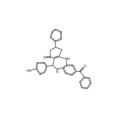 O=C1CC(c2ccccc2)CC2=C1C(c1ccc(O)cc1)Nc1ccc(C(=O)c3ccccc3)cc1N2